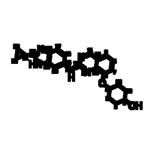 OC1CCC(Oc2cccc3cnc(Nc4ccc5nc(C6CC6)[nH]c5c4)nc23)CC1